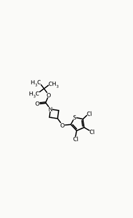 CC(C)(C)OC(=O)N1CC(Oc2sc(Cl)c(Cl)c2Cl)C1